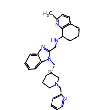 Cc1ccc2c(n1)C(NCc1nc3ccccc3n1C[C@H]1CCCN(Cc3ccccn3)C1)CCC2